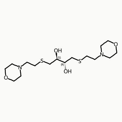 O[C@H](CSCCN1CCOCC1)[C@@H](O)CSCCN1CCOCC1